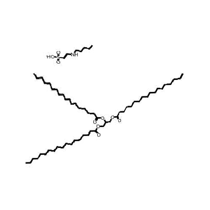 CCCCCCCCCCCCCCCCCC(=O)OCC(COC(=O)CCCCCCCCCCCCCCCCC)OC(=O)CCCCCCCCCCCCCCCCC.CCCCCNCCS(=O)(=O)O